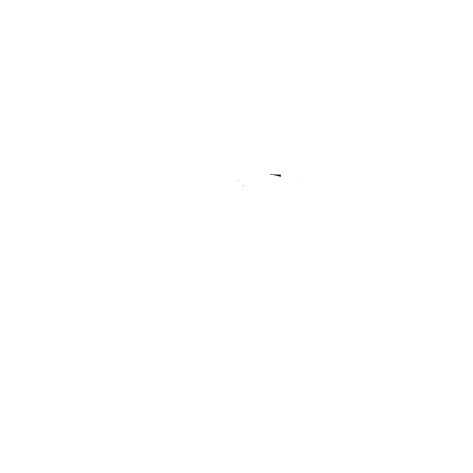 C[C@@H](/N=C/CCc1cccc(C(F)(F)F)c1)c1cccc2ccccc12